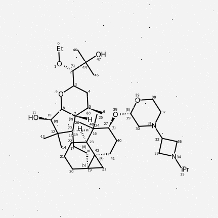 CCO[C@@H](C1C[C@@H](C)[C@H]2C(O1)[C@H](O)C(C)(C)[C@]2(C)CC[C@]12CCC[C@H]3C(C)(C)[C@@H](O[C@H]4CN(C5CN(C(C)C)C5)CCO4)CC[C@@]31C2)C(C)(C)O